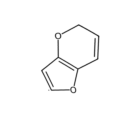 [c]1cc2c(o1)C=CCO2